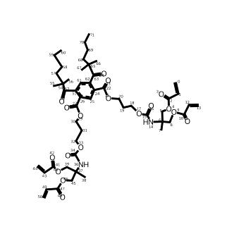 C=CC(=O)OCC(C)(COC(=O)C=C)NC(=O)OCCCOC(=O)c1cc(C(=O)OCCCOC(=O)NC(C)(COC(=O)C=C)COC(=O)C=C)c(C(=O)C(C)(C)CCCC)cc1C(=O)C(C)(C)CCCC